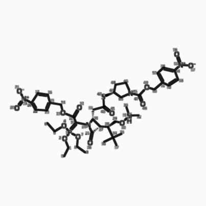 CCOP(OCC)(OCC)=C(C(=O)OCc1ccc([N+](=O)[O-])cc1)N1C(=O)[C@@H]([C@@H](CO[SiH](C)C)C(C)(C)C)[C@H]1CC(=O)S[C@H]1CCN(C(=O)OCc2ccc([N+](=O)[O-])cc2)C1